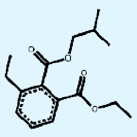 CCOC(=O)c1cccc(CC)c1C(=O)OCC(C)C